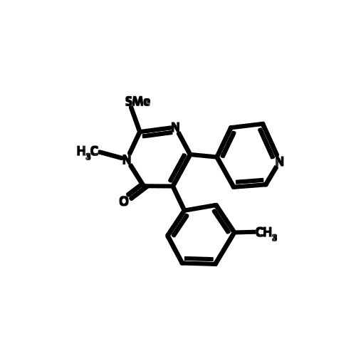 CSc1nc(-c2ccncc2)c(-c2cccc(C)c2)c(=O)n1C